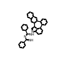 N=C(/N=C(\Nn1cc2c3c(cccc31)-c1ccccc1-c1cc3ccccc3cc1-2)c1ccccc1)c1ccccc1